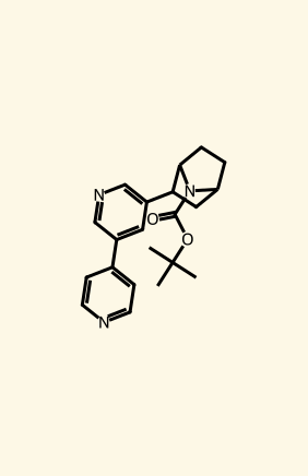 CC(C)(C)OC(=O)N1C2CCC1C(c1cncc(-c3ccncc3)c1)C2